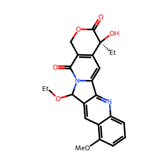 CCOC1c2cc3c(OC)cccc3nc2-c2cc3c(c(=O)n21)COC(=O)[C@]3(O)CC